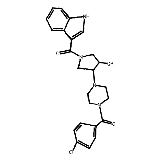 O=C(c1ccc(Cl)cc1)N1CCN(C2CN(C(=O)c3c[nH]c4ccccc34)CC2O)CC1